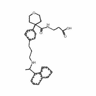 CC(NCCCc1ccc(C2(C(=O)NCCC(=O)O)CCOCC2)cc1)c1cccc2ccccc12